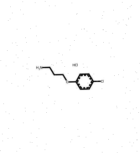 Cl.NCCCOc1ccc(Cl)cc1